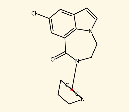 O=C1c2cc(Cl)cc3ccn(c23)CCN1C1CN2CCC1CC2